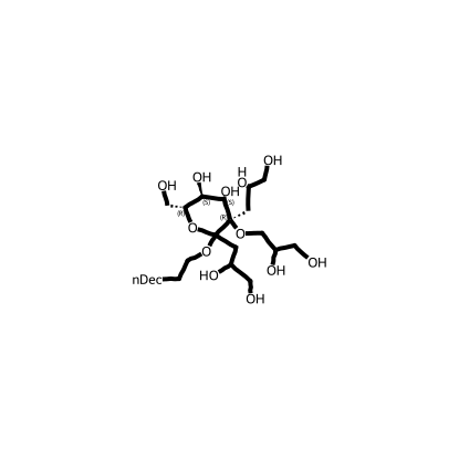 CCCCCCCCCCCCOC1(CC(O)CO)O[C@H](CO)[C@@H](O)[C@H](O)[C@@]1(CC(O)CO)OCC(O)CO